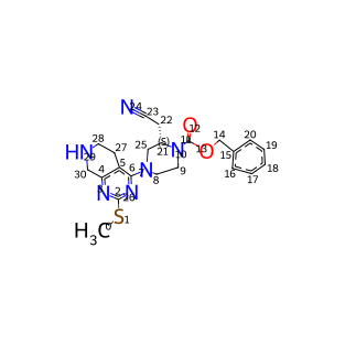 CSc1nc2c(c(N3CCN(C(=O)OCc4ccccc4)[C@@H](CC#N)C3)n1)CCNC2